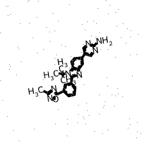 Cc1noc(-c2cccc(-c3nc4cc(-c5cnc(N)nc5)ccc4n3C(C)(C)C)c2)n1